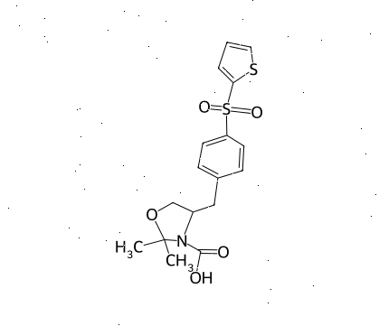 CC1(C)OCC(Cc2ccc(S(=O)(=O)c3cccs3)cc2)N1C(=O)O